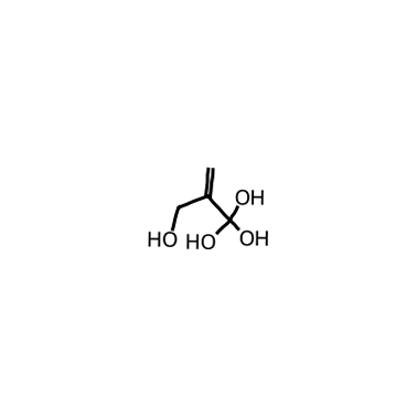 C=C(CO)C(O)(O)O